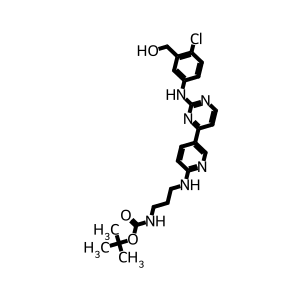 CC(C)(C)OC(=O)NCCCNc1ccc(-c2ccnc(Nc3ccc(Cl)c(CO)c3)n2)cn1